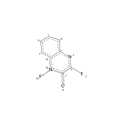 O=c1c(F)nc2ccccc2n1F